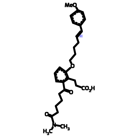 COc1ccc(/C=C/CCCCOc2cccc(C(=O)CCCCC(=O)N(C)C)c2CCC(=O)O)cc1